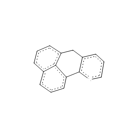 c1cnc2c(c1)Cc1cccc3cccc-2c13